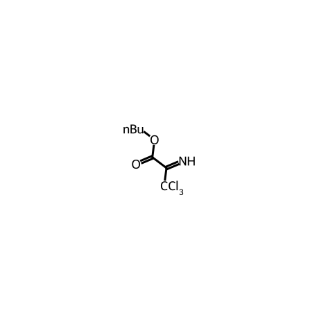 CCCCOC(=O)C(=N)C(Cl)(Cl)Cl